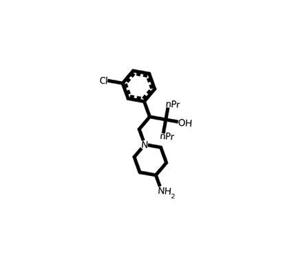 CCCC(O)(CCC)C(CN1CCC(N)CC1)c1cccc(Cl)c1